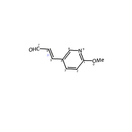 COc1ccc(/C=[C]/C=O)cn1